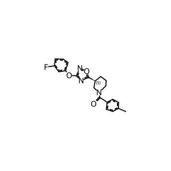 Cc1ccc(C(=O)N2CCC[C@H](c3nc(Oc4cccc(F)c4)no3)C2)cc1